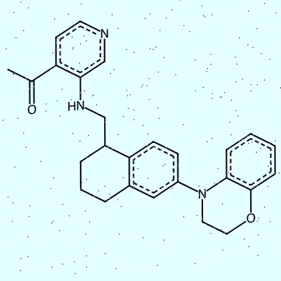 CC(=O)c1ccncc1NCC1CCCc2cc(N3CCOc4ccccc43)ccc21